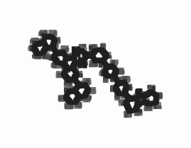 c1cc(-c2ccc(-c3ccc(-c4cccc5c4sc4ccccc45)cc3)cc2)cc(-c2cnc3c4cc(-c5cccc6ccccc56)ccc4c4ccc(-c5cccc6ccccc56)cc4c3n2)c1